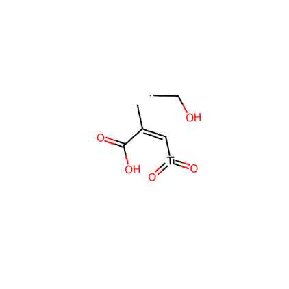 CC(=[CH][Ti](=[O])=[O])C(=O)O.[CH2]CO